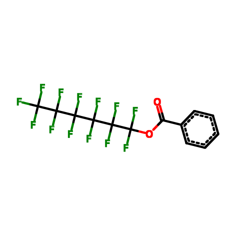 O=C(OC(F)(F)C(F)(F)C(F)(F)C(F)(F)C(F)(F)C(F)(F)F)c1ccccc1